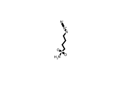 [N-]=[N+]=NCCCCS(N)(=O)=O